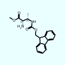 COC(=O)[C@@H](N)[C@H](C)NC(=O)OCC1c2ccccc2-c2ccccc21